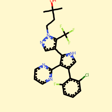 CC(C)(O)CCn1ncc(-c2[nH]cc(-c3c(F)cccc3Cl)c2-c2ncccn2)c1C(F)(F)F